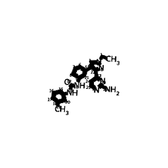 CCn1cc(-c2cccc(NC(=O)Nc3cccc(C)c3)c2)c(-c2ccnc(N)n2)n1